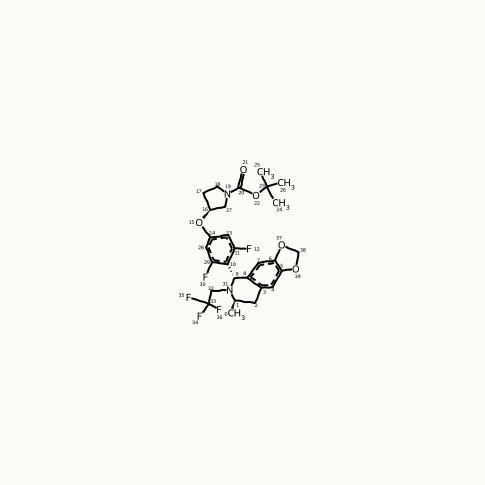 C[C@@H]1Cc2cc3c(cc2[C@@H](c2c(F)cc(O[C@H]4CCN(C(=O)OC(C)(C)C)C4)cc2F)N1CC(F)(F)F)OCO3